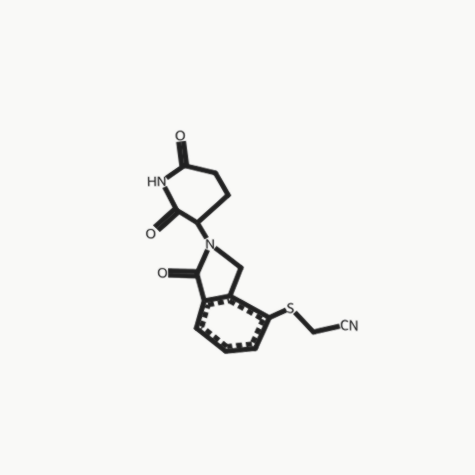 N#CCSc1cccc2c1CN(C1CCC(=O)NC1=O)C2=O